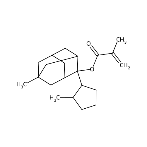 C=C(C)C(=O)OC1(C2CCCC2C)C2CC3CC1CC(C)(C3)C2